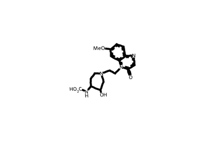 COc1ccc2ncc(=O)n(CCN3CCC(NC(=O)O)C(O)C3)c2c1